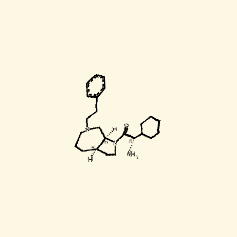 N[C@H](C(=O)N1CC[C@H]2CCCN(CCc3ccccc3)C[C@H]21)C1CCCCC1